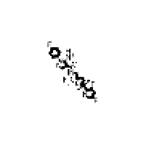 CN(CC(O)(CNC(=O)c1cnn(-c2ccc(F)cc2)c1N)C(F)(F)F)C(=O)c1ncc(F)cc1F